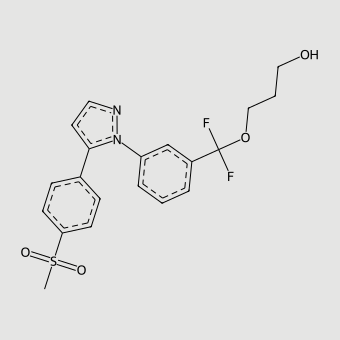 CS(=O)(=O)c1ccc(-c2ccnn2-c2cccc(C(F)(F)OCCCO)c2)cc1